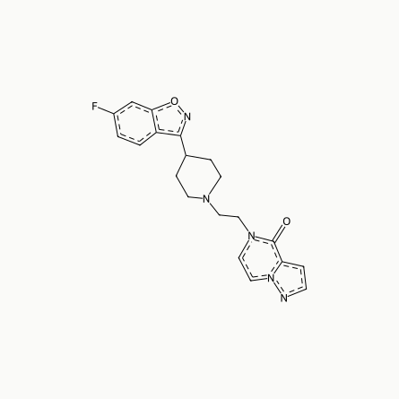 O=c1c2ccnn2ccn1CCN1CCC(c2noc3cc(F)ccc23)CC1